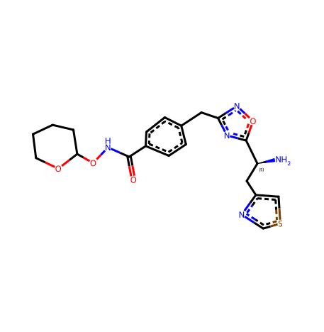 N[C@@H](Cc1cscn1)c1nc(Cc2ccc(C(=O)NOC3CCCCO3)cc2)no1